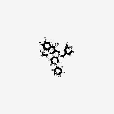 Cc1cc(CN(Cc2cn3c4c(c(F)c(F)cc4c2=O)OCC3)[C@H]2CCCN(c3cccnc3)C2)ccn1